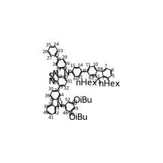 CCCCCCC1(CCCCCC)c2ccccc2-c2ccc(-c3ccc(N(c4ccc(-c5ccccc5)cc4)c4ccc(-c5ccc6c7ccccc7n(-c7cc(OCC(C)C)cc(OCC(C)C)c7)c6c5)c5nsnc45)cc3)cc21